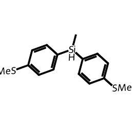 CSc1ccc([SiH](C)c2ccc(SC)cc2)cc1